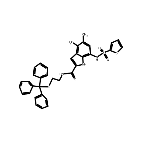 Cc1cc(NS(=O)(=O)c2cccs2)c2[nH]c(C(=O)NCCSC(c3ccccc3)(c3ccccc3)c3ccccc3)cc2c1C